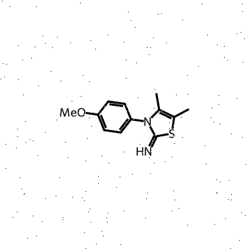 COc1ccc(-n2c(C)c(C)sc2=N)cc1